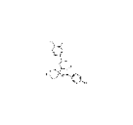 Cc1cc(C(=O)CN2C(=O)C(c3ccc(Cl)cc3)=NC23CCNCC3)ccc1Cl